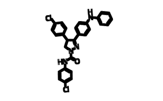 O=C(Nc1ccc(Cl)cc1)N1CC(c2ccc(Cl)cc2)C(c2ccc(Nc3ccccc3)cc2)=N1